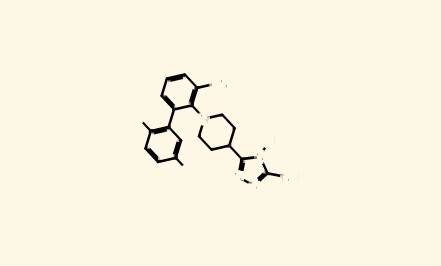 Cn1c(N)nnc1C1CCN(c2c(C#N)cccc2-c2cc(Cl)ccc2F)CC1